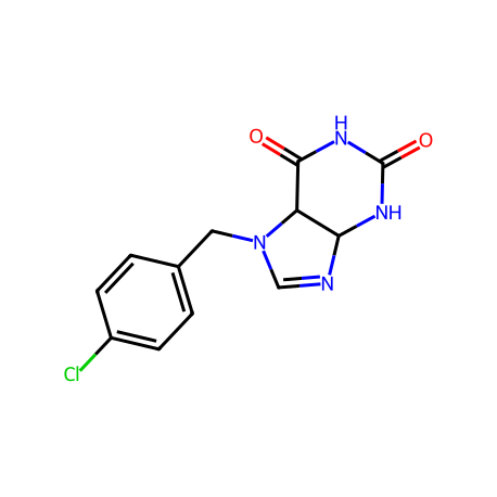 O=C1NC(=O)C2C(N=CN2Cc2ccc(Cl)cc2)N1